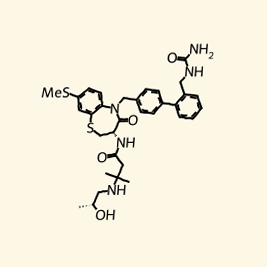 CSc1ccc2c(c1)SC[C@@H](NC(=O)CC(C)(C)NC[C@@H](C)O)C(=O)N2Cc1ccc(-c2ccccc2CNC(N)=O)cc1